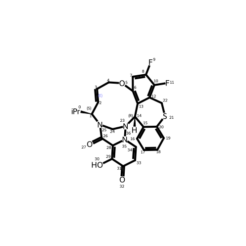 CC(C)[C@H]1/C=C/COc2cc(F)c(F)c3c2[C@H](c2ccccc2SC3)N2CN1C(=O)c1c(O)c(=O)ccn12